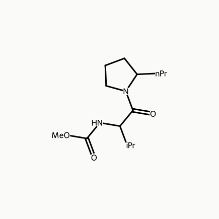 CCCC1CCCN1C(=O)C(NC(=O)OC)C(C)C